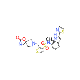 CN(c1cccc2cc(-c3nccs3)[nH]c12)S(=O)(=O)c1ccsc1CN1CCC2(CC1)CNC(=O)O2